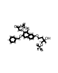 CC(O)(CCOc1ccc2cc(OCc3ccccc3)c(N3CC(=O)NS3(=O)=O)c(F)c2c1)COS(C)(=O)=O